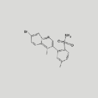 Cc1ccc(S(N)(=O)=O)c(-c2cnc3cc(Br)ccc3c2C)c1